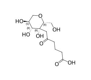 O=C(O)CCCC(=O)C[C@@]1(O)[C@H](O)[C@@H](O)CO[C@@H]1CO